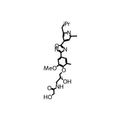 COc1cc(-c2noc(-c3cc(C)nc(CC(C)C)c3)n2)cc(C)c1OC[C@@H](O)CNC(=O)CO